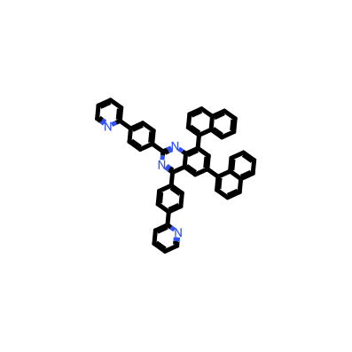 c1ccc(-c2ccc(-c3nc(-c4ccc(-c5ccccn5)cc4)c4cc(-c5cccc6ccccc56)cc(-c5cccc6ccccc56)c4n3)cc2)nc1